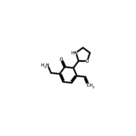 C=CC1=CC=C(CN)C(=O)C1C1NCCO1